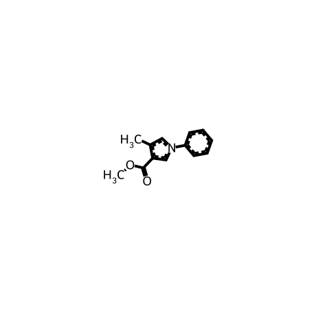 COC(=O)c1cn(-c2ccccc2)cc1C